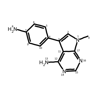 Cn1cc(-c2ccc(N)cc2)c2c(N)ncnc21